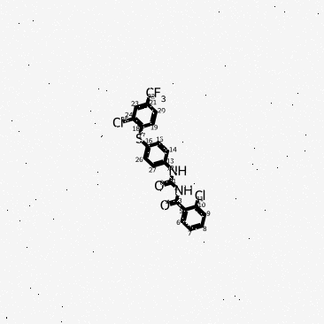 O=C(NC(=O)c1ccccc1Cl)Nc1ccc(Sc2ccc(C(F)(F)F)cc2Cl)cc1